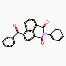 O=C(c1ccccc1)c1ccc2c3c(cccc13)C(=O)N(C1=CC=CCC1)C2=O